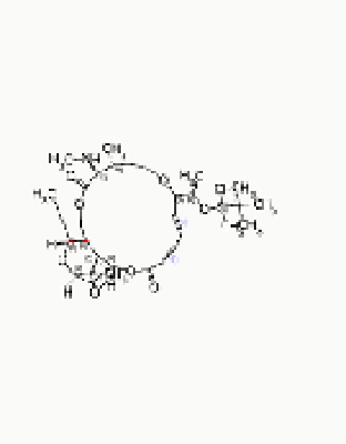 CN[C@@H]1C(=O)OC[C@]23CCC(C)=C[C@H]2O[C@@H]2C[C@@H](OC(=O)/C=C\C=C\[C@H]([C@@H](C)O[Si](C)(C)C(C)(C)C)OCC[C@H]1C)[C@@]3(C)[C@]21CO1